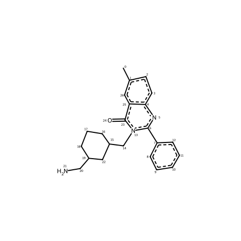 Cc1ccc2nc(-c3ccccc3)n(CC3CCCC(CN)C3)c(=O)c2c1